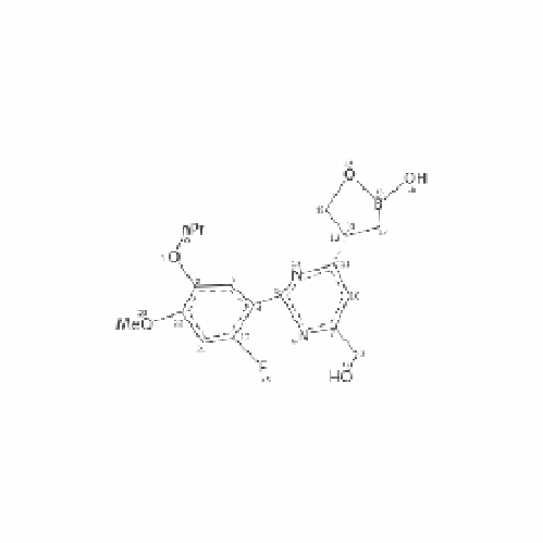 CCCOc1cc(-c2nc(CO)cc([C@@H]3COB(O)C3)n2)c(F)cc1OC